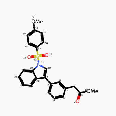 COC(=O)Cc1cccc(-c2cn(S(=O)(=O)c3ccc(OC)cc3)c3ccccc23)c1